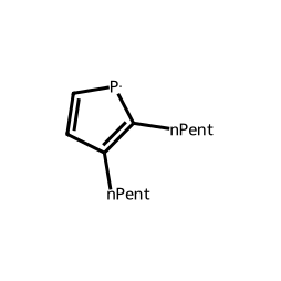 CCCCCC1=C(CCCCC)[P]C=C1